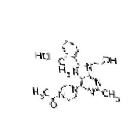 CC(=O)N1CCN(c2nc(C)nc3c2nc(-c2ccccc2C)n3CCO)CC1.Cl